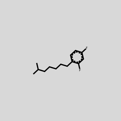 CC(C)CCCCCc1ccc(F)cc1F